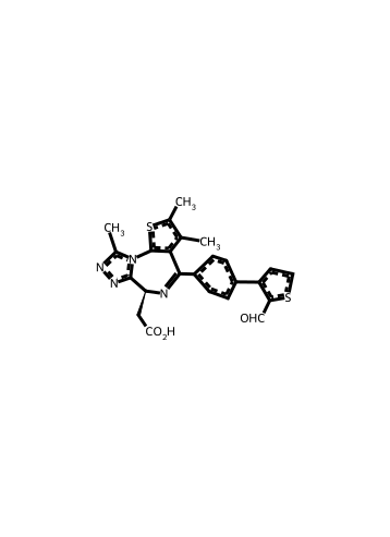 Cc1sc2c(c1C)C(c1ccc(-c3ccsc3C=O)cc1)=N[C@@H](CC(=O)O)c1nnc(C)n1-2